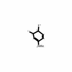 CNC1=CC(I)C(F)C=C1